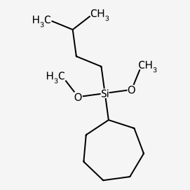 CO[Si](CCC(C)C)(OC)C1CCCCCC1